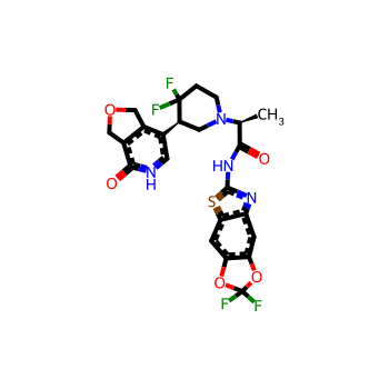 C[C@@H](C(=O)Nc1nc2cc3c(cc2s1)OC(F)(F)O3)N1CCC(F)(F)[C@H](c2c[nH]c(=O)c3c2COC3)C1